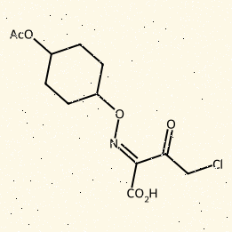 CC(=O)OC1CCC(ON=C(C(=O)O)C(=O)CCl)CC1